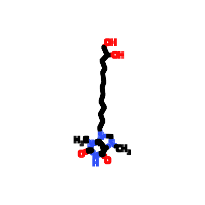 CN1CN(CCCCCCCCCCCC(O)CO)c2c1c(=O)[nH]c(=O)n2C